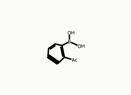 CC(=O)c1c#cccc1B(O)O